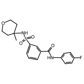 CC1(NS(=O)(=O)c2cccc(C(=O)Nc3ccc(F)cc3)c2)CCOCC1